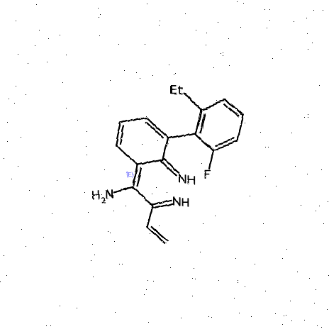 C=CC(=N)/C(N)=C1/C=CC=C(c2c(F)cccc2CC)C1=N